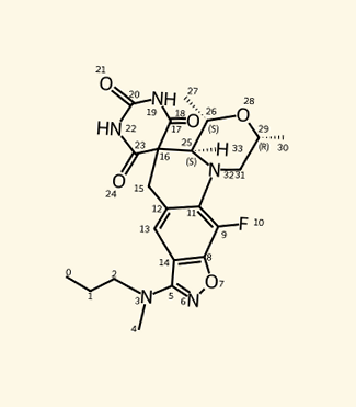 CCCN(C)c1noc2c(F)c3c(cc12)CC1(C(=O)NC(=O)NC1=O)[C@H]1[C@H](C)O[C@H](C)CN31